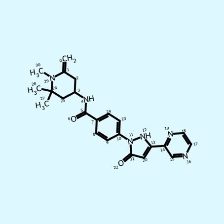 C=C1CC(NC(=O)c2ccc(-n3[nH]c(-c4cnccn4)cc3=O)cc2)CC(C)(C)N1C